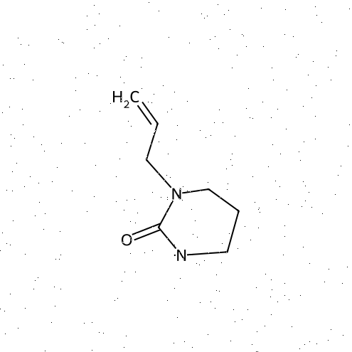 C=CCN1CCC[N]C1=O